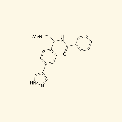 CNCC(NC(=O)c1ccccc1)c1ccc(-c2cn[nH]c2)cc1